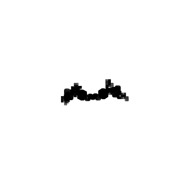 CCS(=O)(=O)O/N=C(\C)c1ccc(OCCCOc2ccc(/C(=N/OS(=O)(=O)CC(F)(F)F)C(F)(F)F)cc2)cc1